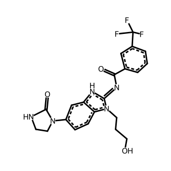 O=C(/N=c1\[nH]c2cc(N3CCNC3=O)ccc2n1CCCO)c1cccc(C(F)(F)F)c1